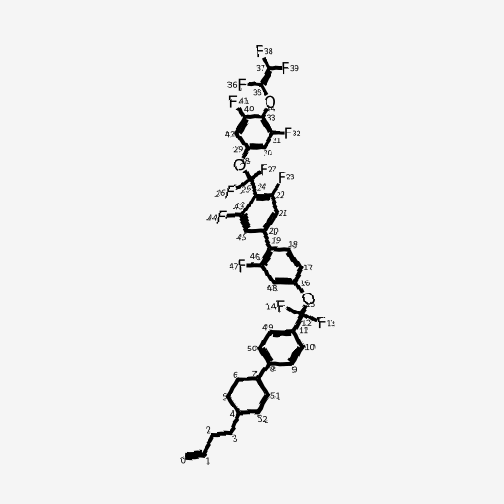 C=CCCC1CCC(c2ccc(C(F)(F)Oc3ccc(-c4cc(F)c(C(F)(F)Oc5cc(F)c(OC(F)=C(F)F)c(F)c5)c(F)c4)c(F)c3)cc2)CC1